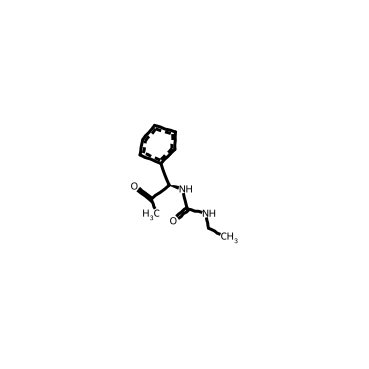 CCNC(=O)N[C@@H](C(C)=O)c1ccccc1